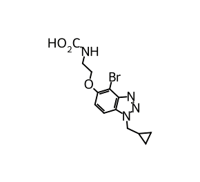 O=C(O)NCCOc1ccc2c(nnn2CC2CC2)c1Br